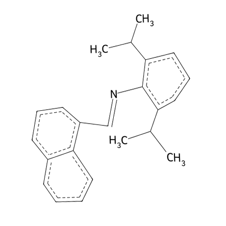 CC(C)c1cccc(C(C)C)c1N=Cc1cccc2ccccc12